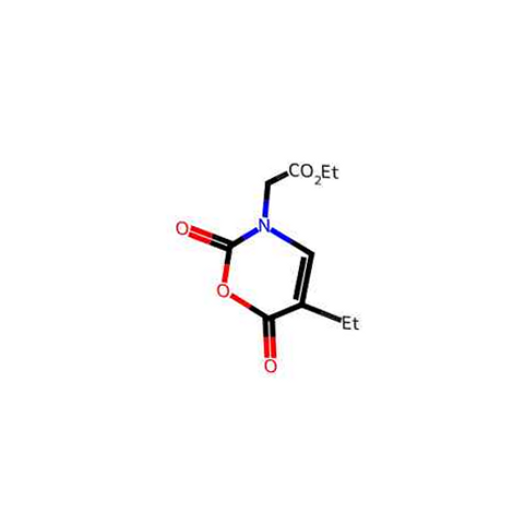 CCOC(=O)Cn1cc(CC)c(=O)oc1=O